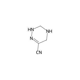 N#CC1=NNCNC1